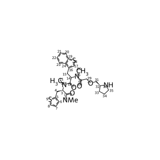 CNC(=O)[C@@H](Cc1cccs1)N(C)C(=O)C(Cc1csc2ccccc12)N(C)C(=O)COC[C@@H]1CCCN1